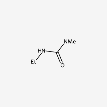 CCNC(=O)NC